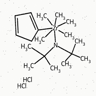 CC(C)(C)[N](C(C)(C)C)[Zr]([CH3])([CH3])([CH3])([CH3])([CH3])[C]1=CC=CC1.Cl.Cl